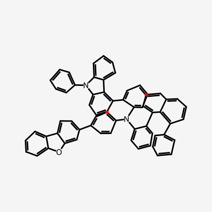 c1ccc(-c2cccc3cccc(-c4ccccc4N(c4ccc(-c5ccc6c(c5)oc5ccccc56)cc4)c4ccccc4-c4cccc5c4c4ccccc4n5-c4ccccc4)c23)cc1